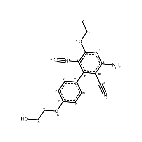 [C-]#[N+]c1c(OCC)nc(N)c(C#N)c1-c1ccc(OCCO)cc1